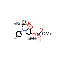 CCCC[C@]1(CC)CN(c2ccc(F)cc2)c2cc(SC)c(OC[C@H](O)C(=O)OC)cc2S(=O)(=O)C1